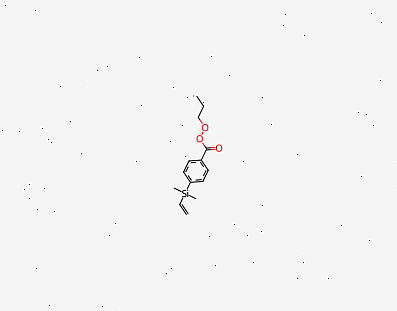 [CH2]CCOOC(=O)c1ccc([Si](C)(C)C=C)cc1